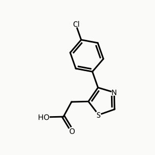 O=C(O)Cc1scnc1-c1ccc(Cl)cc1